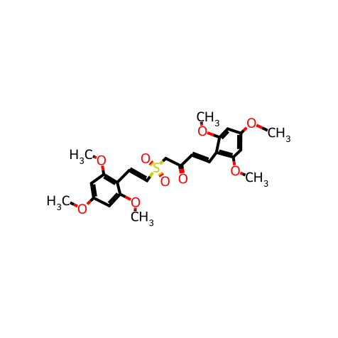 COc1cc(OC)c(/C=C/C(=O)CS(=O)(=O)/C=C/c2c(OC)cc(OC)cc2OC)c(OC)c1